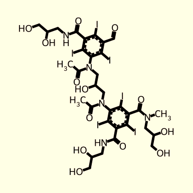 CC(=O)N(CC(O)CN(C(C)=O)c1c(I)c(C(=O)NCC(O)CO)c(I)c(C(=O)N(C)CC(O)CO)c1I)c1c(I)c(C=O)c(I)c(C(=O)NCC(O)CO)c1I